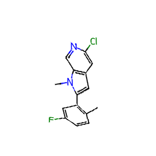 Cc1ccc(F)cc1-c1cc2cc(Cl)ncc2n1C